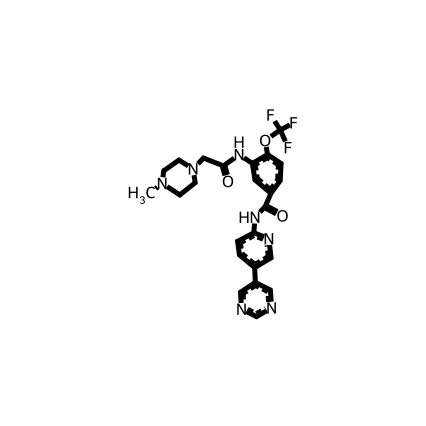 CN1CCN(CC(=O)Nc2cc(C(=O)Nc3ccc(-c4cncnc4)cn3)ccc2OC(F)(F)F)CC1